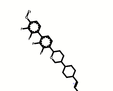 C/C=C/C1CCC(C2CCC(c3ccc(-c4ccc(OCC)c(F)c4F)c(F)c3F)OC2)CC1